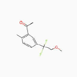 COCC(F)(F)c1ccc(C)c(C(C)=O)c1